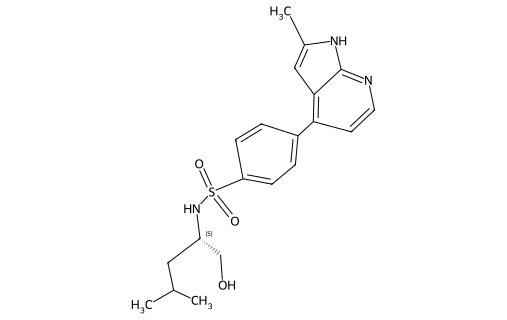 Cc1cc2c(-c3ccc(S(=O)(=O)N[C@H](CO)CC(C)C)cc3)ccnc2[nH]1